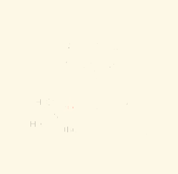 CC(C)(C)[Si](C)(C)OC[C@@H](/C=C/c1ccccc1)C12CC3CC(CC(C3)C1)C2